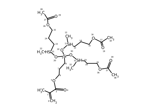 C=C(C)C(=O)OCCC[Si](O[SiH](C)CCCOC(C)=O)(O[SiH](C)CCCOC(C)=O)O[SiH](C)CCCOC(C)=O